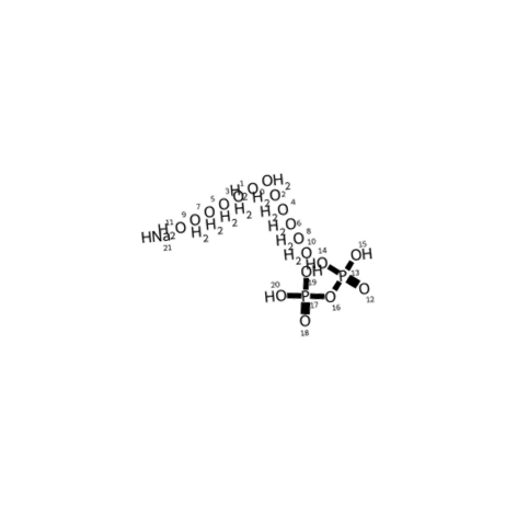 O.O.O.O.O.O.O.O.O.O.O.O.O=P(O)(O)OP(=O)(O)O.[NaH]